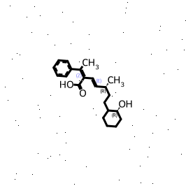 C/C(=C(\C=C\[C@H](C)CCC1CCCC[C@H]1O)C(=O)O)c1ccccc1